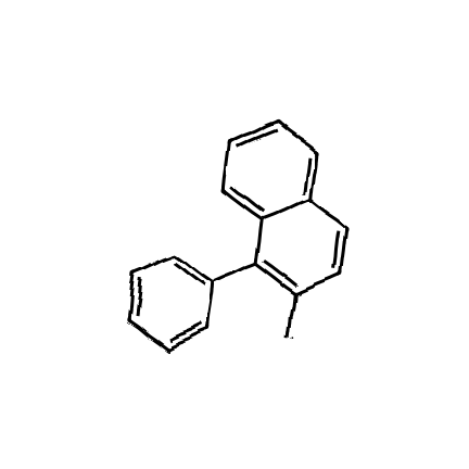 [CH2]c1ccc2ccccc2c1-c1ccccc1